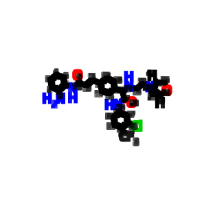 Nc1ccccc1NC(=O)/C=C/c1ccc(C(NCCN2C[C@@H]3C[C@H]2CO3)C(=O)Nc2ccc(C(F)(F)F)c(Cl)c2)cc1